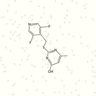 Cc1cc(O)nc(SCc2c(F)cncc2F)n1